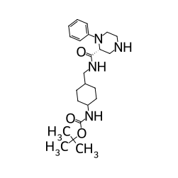 CC(C)(C)OC(=O)NC1CCC(CNC(=O)[C@H]2CNCCN2c2ccccc2)CC1